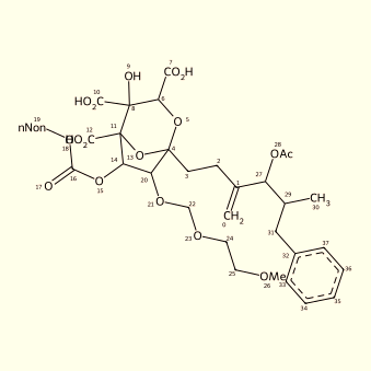 C=C(CCC12OC(C(=O)O)C(O)(C(=O)O)C(C(=O)O)(O1)C(OC(=O)OCCCCCCCCC)C2OCOCCOC)C(OC(C)=O)C(C)Cc1ccccc1